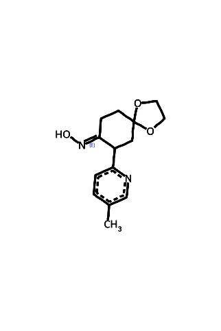 Cc1ccc(C2CC3(CC/C2=N\O)OCCO3)nc1